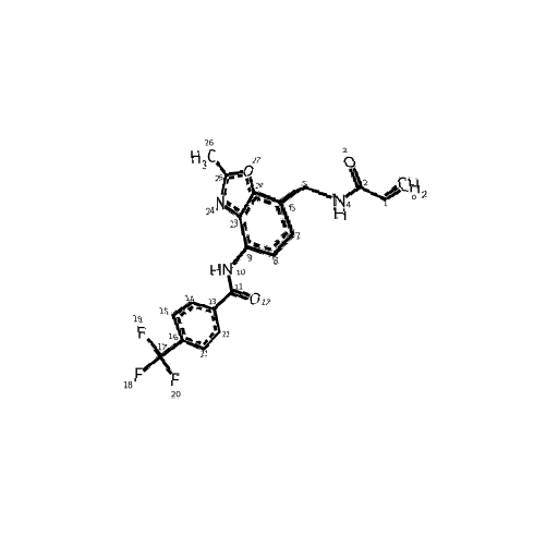 C=CC(=O)NCc1ccc(NC(=O)c2ccc(C(F)(F)F)cc2)c2nc(C)oc12